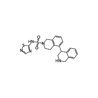 O=S(=O)(Nc1ncns1)N1CCc2c(cccc2C2CNCc3ccccc32)C1